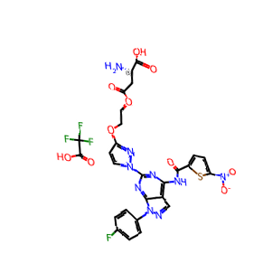 N[C@@H](CC(=O)OCCOc1ccn(-c2nc(NC(=O)c3ccc([N+](=O)[O-])s3)c3cnn(-c4ccc(F)cc4)c3n2)n1)C(=O)O.O=C(O)C(F)(F)F